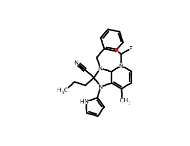 CCCC1(C#N)N(c2ccc[nH]2)C2=C(C)C=CN(C(F)F)C2N1Cc1ccccc1